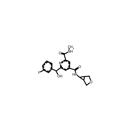 CNC(=O)c1cc(C(=O)NC2C3COCC32)cc(C(O)c2cccc(F)c2)n1